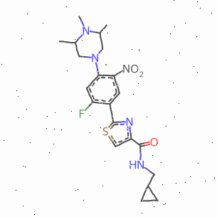 CC1CN(c2cc(F)c(-c3nc(C(=O)NCC4CC4)cs3)cc2[N+](=O)[O-])CC(C)N1C